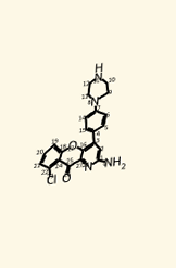 Nc1cc(-c2ccc(N3CCNCC3)cc2)c2oc3cccc(Cl)c3c(=O)c2n1